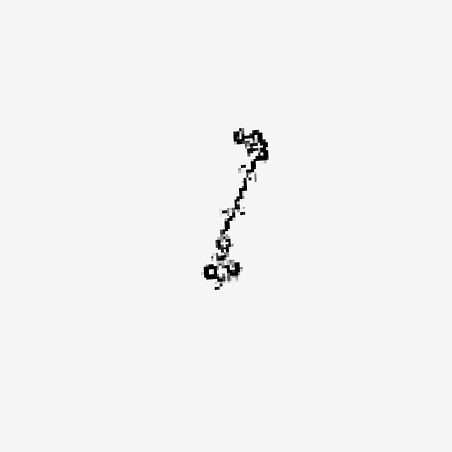 O=C(CCCCCNC(=O)CCc1ccc2n1[B-](F)(F)[N+]1=C(c3cccs3)C=CC1=C2)NCCCCN1CCN(CC(=O)N2c3ccccc3C(=O)Nc3cccnc32)CC1